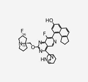 Oc1cc(-c2ncc3c(N4CC5CCC4CN5)nc(OC[C@@]45CCCN4C[C@H](F)C5)nc3c2F)c2c3c(ccc2c1)CCC3